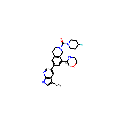 Cc1c[nH]c2ncc(-c3cc4c(c([C@@H]5COCCN5)c3)CN(C(=O)N3CCC(F)CC3)CC4)cc12